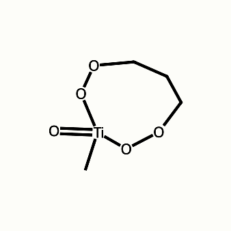 [CH3][Ti]1(=[O])[O]OCCCO[O]1